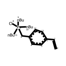 C=Cc1ccc(CP(Cl)(CCCC)(CCCC)CCCC)cc1